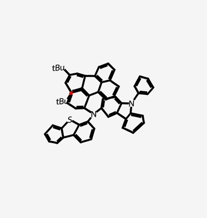 CC(C)(C)c1cc(-c2cccc3cccc(-c4ccccc4N(c4ccc5c(c4)c4ccccc4n5-c4ccccc4)c4cccc5c4sc4ccccc45)c23)cc(C(C)(C)C)c1